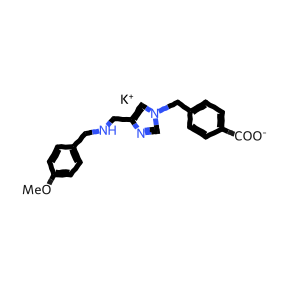 COc1ccc(CNCc2cn(Cc3ccc(C(=O)[O-])cc3)cn2)cc1.[K+]